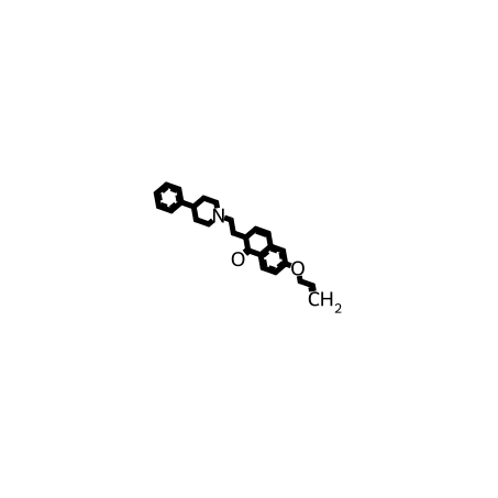 C=CCOc1ccc2c(c1)C=CC(CCN1CCC(c3ccccc3)CC1)C2=O